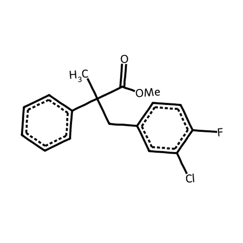 COC(=O)C(C)(Cc1ccc(F)c(Cl)c1)c1ccccc1